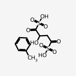 Cc1ccccc1.O=C(CC(O)C(=O)S(=O)(=O)O)S(=O)(=O)O